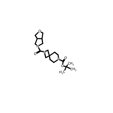 CC(C)(C)OC(=O)N1CCC2(CC1)CN(C(=O)N1CC3COCC3C1)C2